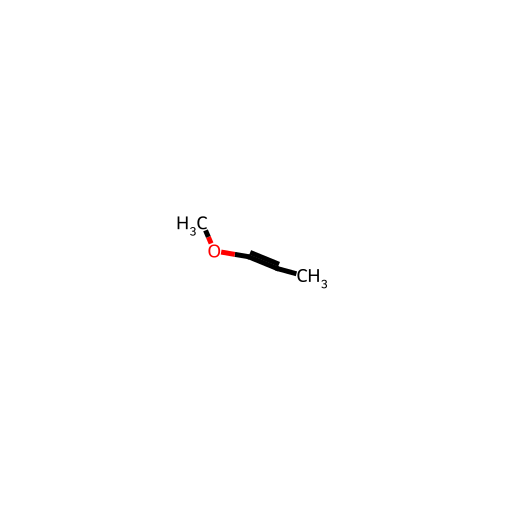 CC=COC